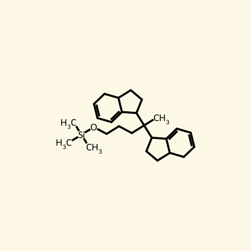 CC(CCCO[Si](C)(C)C)(C1CCC2CC=CC=C21)C1CCC2CC=CC=C21